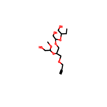 C#CCOCC(COC(CO)OC(CC)CO)OC(CO)OC